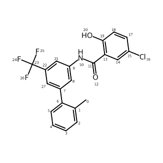 Cc1ccccc1-c1cc(NC(=O)c2cc(Cl)ccc2O)cc(C(F)(F)F)c1